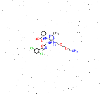 Cc1nc(NCCOCCOCCN)c(NCc2ncc(-c3cc(Cl)ccc3Cl)o2)c(Nc2ccccc2C(=O)O)n1